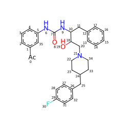 CC(=O)c1cccc(NC(=O)NC(Cc2ccccc2)C(O)CN2CCC(Cc3ccc(F)cc3)CC2)c1